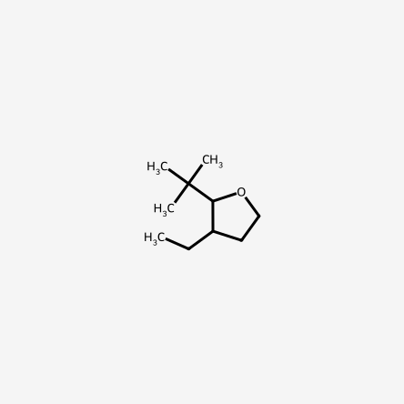 CCC1CCOC1C(C)(C)C